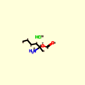 CCCCC(C)(N)OC=O.Cl